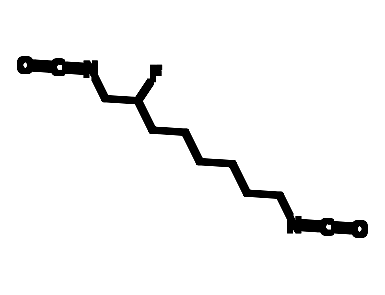 O=C=NCCCCCCC(F)CN=C=O